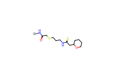 CCNC(=O)CSCCCNC(=S)CC1CCCCO1